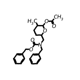 CC(=O)OC1OC(CN(Cc2ccccc2)C(=O)OCc2ccccc2)CCC1C